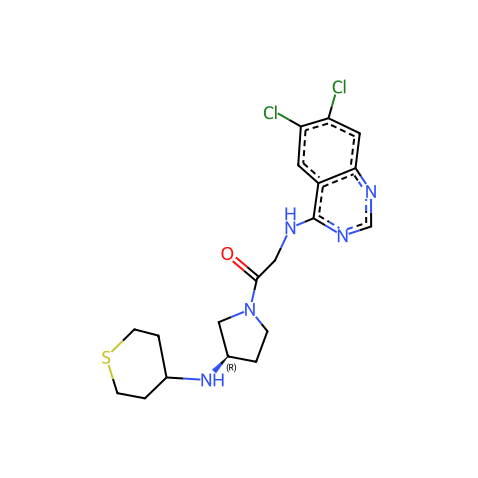 O=C(CNc1ncnc2cc(Cl)c(Cl)cc12)N1CC[C@@H](NC2CCSCC2)C1